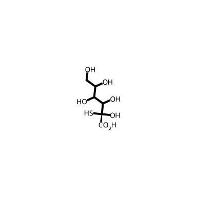 O=C(O)[C@@](O)(S)C(O)C(O)C(O)CO